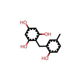 Cc1ccc(O)c(Cc2c(O)cc(O)cc2O)c1